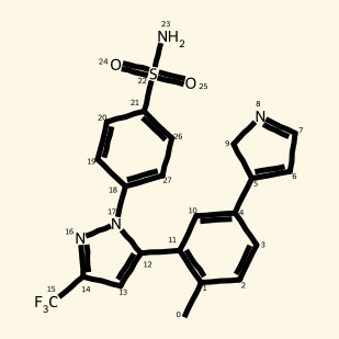 Cc1ccc(C2=CC=NC2)cc1-c1cc(C(F)(F)F)nn1-c1ccc(S(N)(=O)=O)cc1